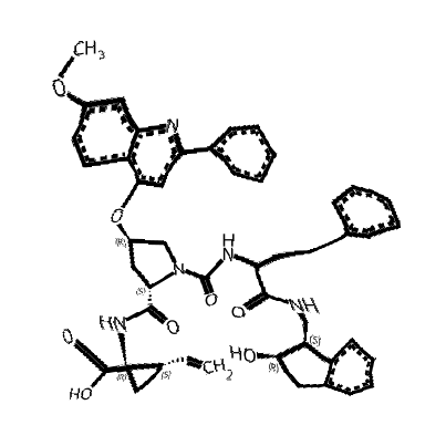 C=C[C@@H]1C[C@]1(NC(=O)[C@@H]1C[C@@H](Oc2cc(-c3ccccc3)nc3cc(OC)ccc23)CN1C(=O)NC(CCc1ccccc1)C(=O)N[C@H]1c2ccccc2C[C@H]1O)C(=O)O